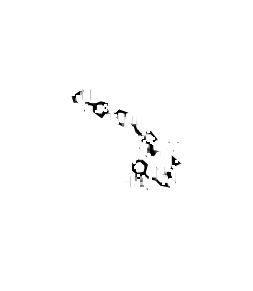 CO[C@@]1(C(=O)Nc2ccc3[nH]nc(-c4ccnc(C5CC5)n4)c3c2)CCN(CC(=O)N2CCN(c3ccc(-c4ncccn4)cc3)CC2)C1